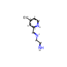 CCc1ccnc(/C=N/CC=N)c1